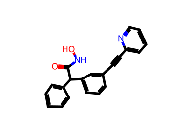 O=C(NO)C(c1ccccc1)c1cccc(C#Cc2ccccn2)c1